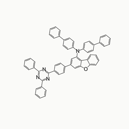 c1ccc(-c2ccc(N(c3ccc(-c4ccccc4)cc3)c3cc(-c4ccc(-c5nc(-c6ccccc6)nc(-c6ccccc6)n5)cc4)cc4oc5ccccc5c34)cc2)cc1